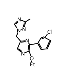 CCOc1ncc(Cn2cnc(C)n2)nc1-c1cccc(Cl)c1